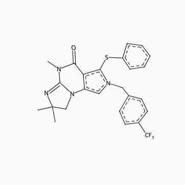 CN1C(=O)c2c(cn(Cc3ccc(C(F)(F)F)cc3)c2Sc2ccccc2)N2CC(C)(C)N=C12